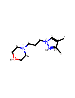 Cc1cn(CCCN2CCOCC2)nc1C